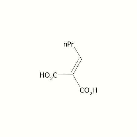 CCCC=C(C(=O)O)C(=O)O